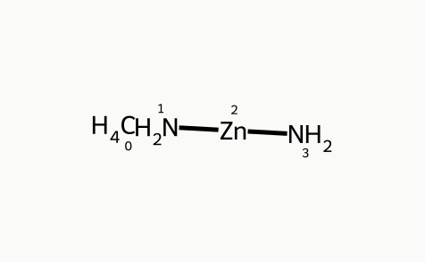 C.[NH2][Zn][NH2]